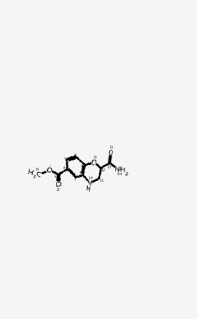 COC(=O)c1ccc2c(c1)NCC(C(N)=O)O2